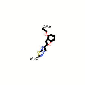 COCCOc1cccc2oc(-c3cn4nc(OC)sc4n3)cc12